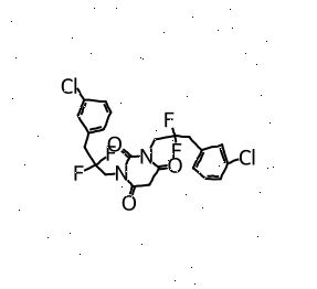 O=C1CC(=O)N(CC(F)(F)Cc2cccc(Cl)c2)C(=O)N1CC(F)(F)Cc1cccc(Cl)c1